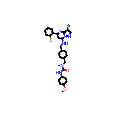 COc1ccc(NC(=O)NCc2ccc(CNc3cc(-c4ccccc4Cl)nc4c(Br)cnn34)cc2)cc1